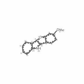 COc1ccc2c(c1)oc1c3ccccc3[nH]c21